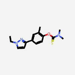 CCn1ccc(-c2ccc(OC(=S)N(C)C)c(C)c2)n1